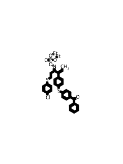 C/C=C(\C(CCSc1ccc(Cl)cc1)=N\OP(=O)(OCC)OCC)c1ccc(Sc2ccc(C(=O)c3ccccc3)cc2)cc1